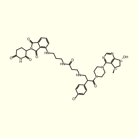 C[C@@H]1C[C@@H](O)c2ncnc(N3CCN(C(=O)C(CNCCC(=O)NCCCNc4cccc5c4C(=O)N(C4CCC(=O)NC4=O)C5=O)c4ccc(Cl)cc4)CC3)c21